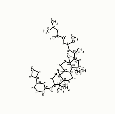 COC(COC(=O)CC(C)C)C[C@@H](C)[C@H]1C[C@H](O)[C@@]2(C)C3CC[C@H]4C(C)(C)C(OC5CN(C6COC6)CCO5)CCC45CC35CCC12C